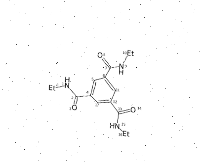 CCNC(=O)c1cc(C(=O)NCC)cc(C(=O)NCC)c1